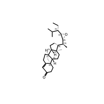 CC[C@@H](C(C)C)[C@@H]1O[C@@H]1[C@@H](C)[C@H]1CC[C@H]2[C@@H]3CCC4=CC(=O)CC[C@]4(C)[C@H]3CC[C@]12C